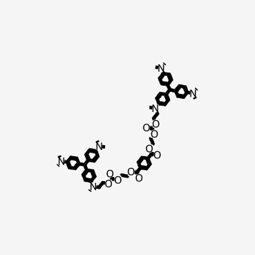 CN(C)c1ccc(C(c2ccc(N(C)C)cc2)c2ccc(N(C)CCOC(=O)OCCOC(=O)c3ccc(C(=O)OCCOC(=O)OCCN(C)c4ccc(C(c5ccc(N(C)C)cc5)c5ccc(N(C)C)cc5)cc4)cc3)cc2)cc1